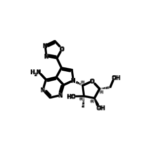 C[C@@]1(O)[C@H](O)[C@@H](CO)O[C@H]1n1cc(-c2nnco2)c2c(N)ncnc21